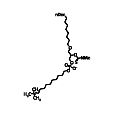 CCCCCCCCCCCCCCCCCCOCC(COP(=O)([O-])OCCCCCCCCCC[N+](C)(C)C)OC(=S)NC